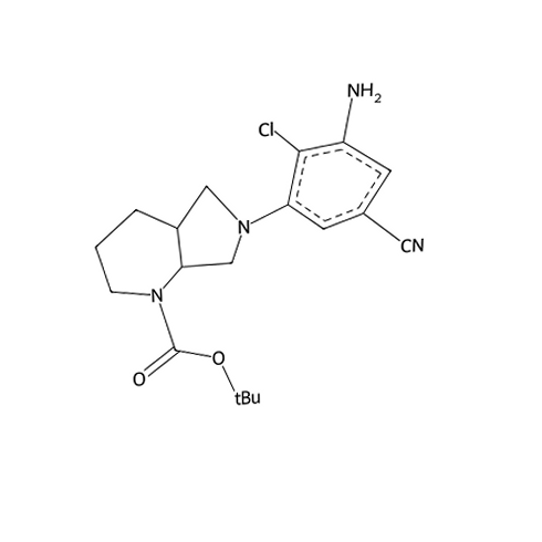 CC(C)(C)OC(=O)N1CCCC2CN(c3cc(C#N)cc(N)c3Cl)CC21